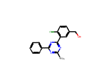 COc1nc(-c2ccccc2)nc(-c2cc(CO)ccc2Cl)n1